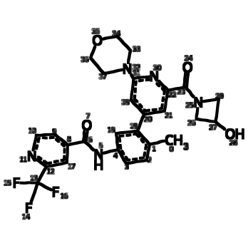 Cc1ccc(NC(=O)c2ccnc(C(F)(F)F)c2)cc1-c1cc(C(=O)N2CC(O)C2)nc(N2CCOCC2)c1